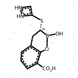 O=C(O)c1cccc2c1OB(O)[C@@H](Sc1c[nH][nH]1)C2